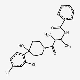 CC(NC(=O)c1ccccc1)C(C)C(=O)N1CCC(O)(c2ccc(Cl)cc2Cl)CC1